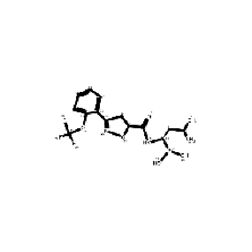 CC(C)C[C@H](NC(=O)C1CC(c2ccccc2OC(F)(F)F)=NO1)B(O)O